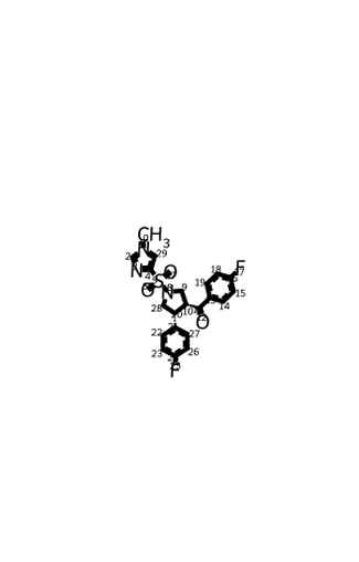 Cn1cnc(S(=O)(=O)N2C[C@@H](C(=O)c3ccc(F)cc3)[C@H](c3ccc(F)cc3)C2)c1